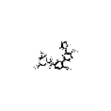 Cc1ccc(S(=O)(=O)N(CCN)OC(=O)C(F)(F)F)cc1-c1cnc(N)c(-n2cncn2)n1